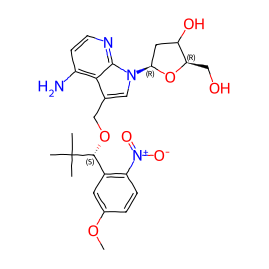 COc1ccc([N+](=O)[O-])c([C@@H](OCc2cn([C@H]3CC(O)[C@@H](CO)O3)c3nccc(N)c23)C(C)(C)C)c1